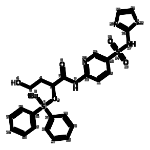 CC(C)(C)[Si](OC(CCO)C(=O)Nc1ccc(S(=O)(=O)Nc2nccs2)cn1)(c1ccccc1)c1ccccc1